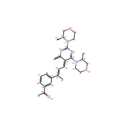 C=c1nc(N2CCOC[C@@H]2C)nc(N2CCOCC2C)/c1=C/C=C(\C)c1cccc(C(C)=O)c1